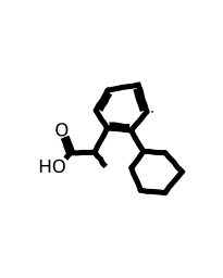 CC(C(=O)O)c1ccc[c]c1C1CCCCC1